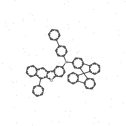 c1ccc(-c2ccc(N(c3ccc4c(c3)C3(c5ccccc5-c5ccccc53)c3ccccc3-4)c3ccc4oc5c(-c6ccccc6)c6ccccc6cc5c4c3)cc2)cc1